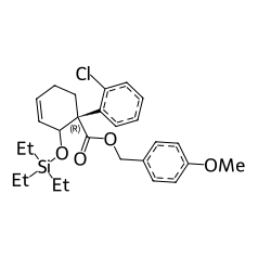 CC[Si](CC)(CC)OC1C=CCC[C@@]1(C(=O)OCc1ccc(OC)cc1)c1ccccc1Cl